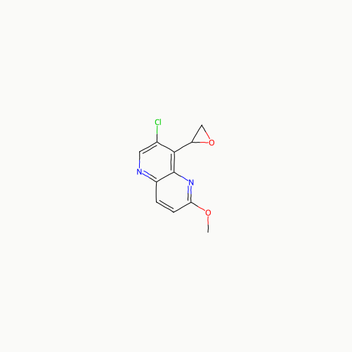 COc1ccc2ncc(Cl)c(C3CO3)c2n1